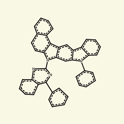 c1ccc(-c2nc(-n3c4cc5c(cc4c4c6ccccc6ccc43)c3ccccc3n5-c3ccccc3)nc3ccccc23)cc1